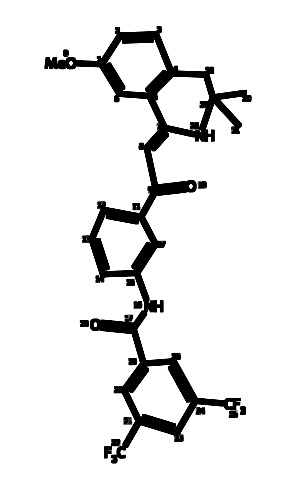 COc1ccc2c(c1)/C(=C/C(=O)c1cccc(NC(=O)c3cc(C(F)(F)F)cc(C(F)(F)F)c3)c1)NC(C)(C)C2